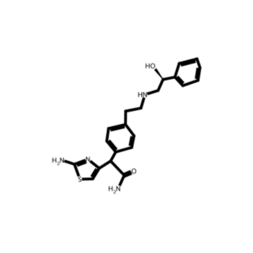 NC(=O)C(c1ccc(CCNC[C@@H](O)c2ccccc2)cc1)c1csc(N)n1